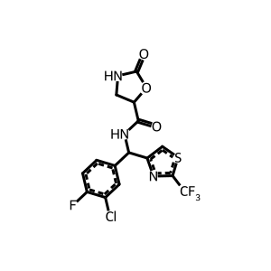 O=C1NCC(C(=O)NC(c2ccc(F)c(Cl)c2)c2csc(C(F)(F)F)n2)O1